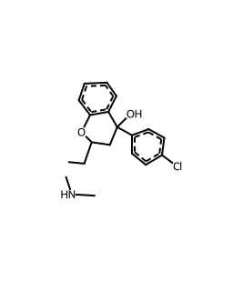 CCC1CC(O)(c2ccc(Cl)cc2)c2ccccc2O1.CNC